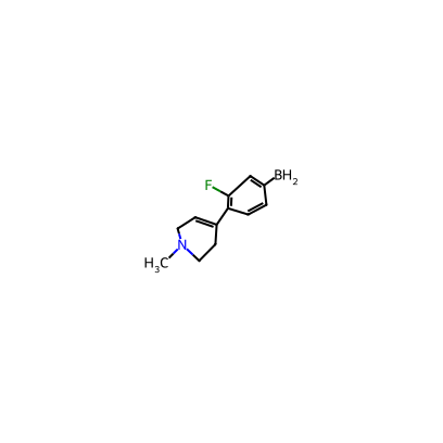 Bc1ccc(C2=CCN(C)CC2)c(F)c1